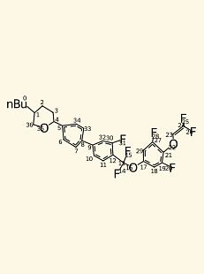 CCCCC1CCC(c2ccc(-c3ccc(C(F)(F)Oc4cc(F)c(OC=C(F)F)c(F)c4)c(F)c3)cc2)OC1